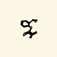 C=C(C)C(=O)Oc1ccccc1CBr